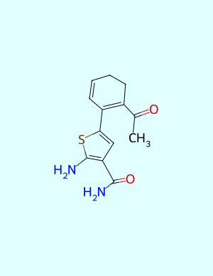 CC(=O)C1=C(c2cc(C(N)=O)c(N)s2)C=CCC1